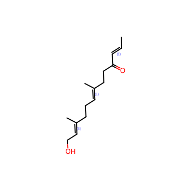 C/C=C/C(=O)CC/C(C)=C/CC/C(C)=C/CO